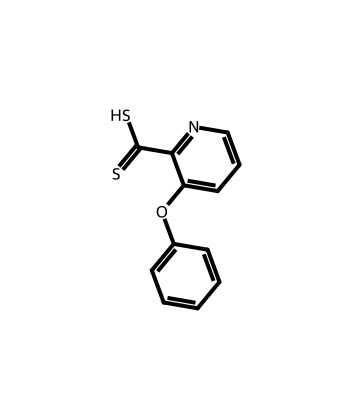 S=C(S)c1ncccc1Oc1ccccc1